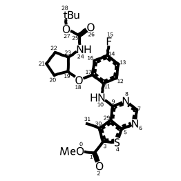 COC(=O)c1sc2ncnc(Nc3ccc(F)cc3OC3CCCC3NC(=O)OC(C)(C)C)c2c1C